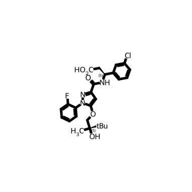 CC(C)(C)[C@](C)(O)COc1cc(C(=O)N[C@@H](CC(=O)O)c2cccc(Cl)c2)nn1-c1ccccc1F